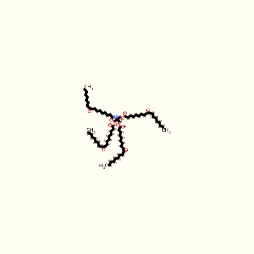 CCCCCCCCC1OC1CCCCCCCC(=O)NC(COC(=O)CCCCCCCC1OC1CCCCCCCC)(COC(=O)CCCCCCCC1OC1CCCCCCCC)COC(=O)CCCCCCCC1OC1CCCCCCCC